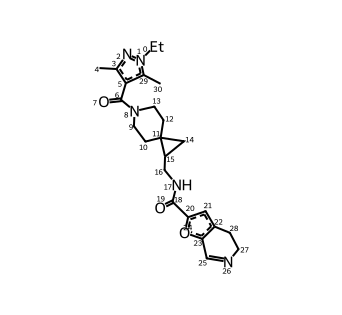 CCn1nc(C)c(C(=O)N2CCC3(CC2)CC3CNC(=O)c2cc3c(o2)C=NCC3)c1C